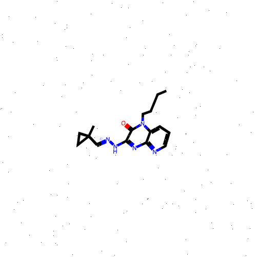 CCCCn1c(=O)c(N/N=C/C2(C)CC2)nc2ncccc21